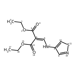 CCOC(=O)C(=CNc1cnsc1)C(=O)OCC